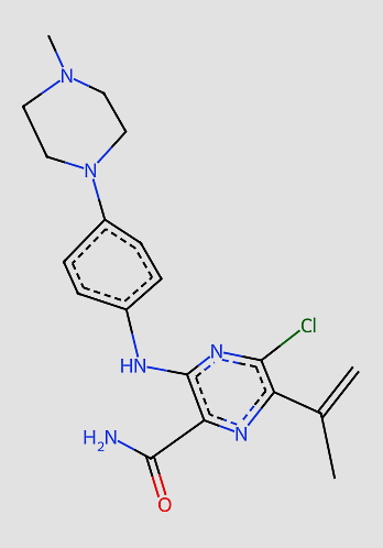 C=C(C)c1nc(C(N)=O)c(Nc2ccc(N3CCN(C)CC3)cc2)nc1Cl